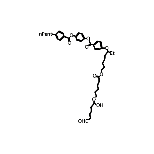 CCCCCc1ccc(C(=O)Oc2ccc(OC(=O)c3ccc(OC(CC)CCCCCOC(=O)CCCCCOC(O)CCCCC=O)cc3)cc2)cc1